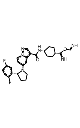 N=COC(=N)[C@H]1CC[C@H](NC(=O)c2cnn3ccc(N4CCC[C@@H]4c4cc(F)ccc4F)cc23)CC1